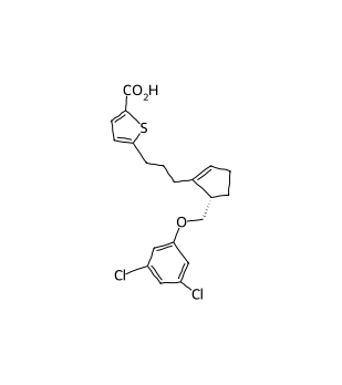 O=C(O)c1ccc(CCCC2=CCC[C@@H]2COc2cc(Cl)cc(Cl)c2)s1